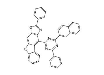 c1ccc(-c2nc(-c3ccc4ccccc4c3)nc(-c3c4nc(-c5ccccc5)oc4cc4oc5ccccc5c34)n2)cc1